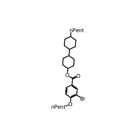 CCCCCOc1ccc(C(=O)OC2CCC(C3CCC(CCCCC)CC3)CC2)cc1Br